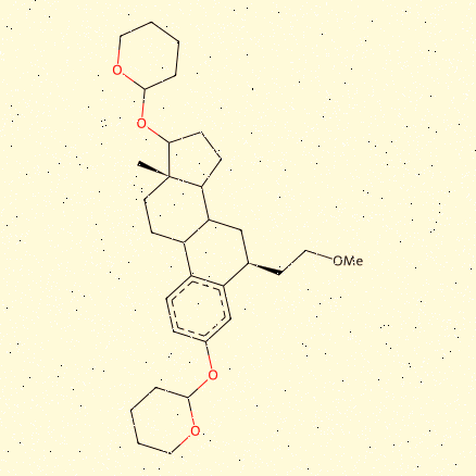 COCC[C@@H]1CC2C(CC[C@]3(C)C(OC4CCCCO4)CCC23)c2ccc(OC3CCCCO3)cc21